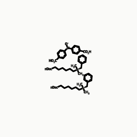 CCCCCCCCCCCCCCCC[N+](C)(C)Cc1ccccc1.CCCCCCCCCCCCCCCC[N+](C)(C)Cc1ccccc1.O=C(O)c1ccc([S+]([O-])c2ccc(C(=O)O)cc2)cc1